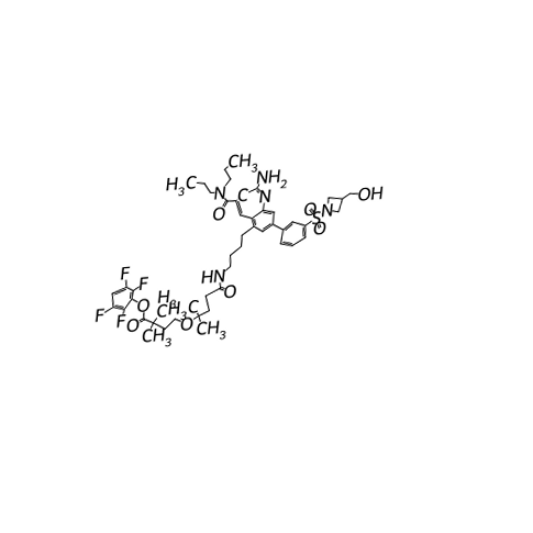 CCCN(CCC)C(=O)C1=Cc2c(CCCCNC(=O)CCC(C)(C)OCCC(C)(C)C(=O)Oc3c(F)c(F)cc(F)c3F)cc(-c3cccc(S(=O)(=O)N4CC(CO)C4)c3)cc2N=C(N)C1